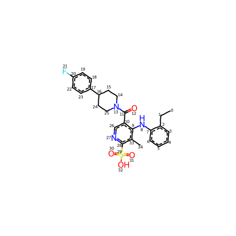 CCc1ccccc1Nc1c(C(=O)N2CCC(c3ccc(F)cc3)CC2)cnc(S(=O)(=O)O)c1C